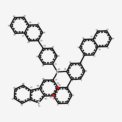 c1ccc(-c2ccc(-c3ccc4ccccc4c3)cc2N(c2ccc(-c3ccc4ccccc4c3)cc2)c2ccc3sc4ccccc4c3c2)cc1